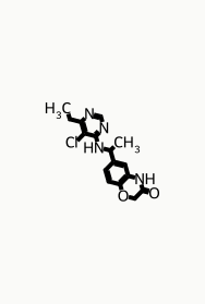 CCc1ncnc(NC(C)c2ccc3c(c2)NC(=O)CO3)c1Cl